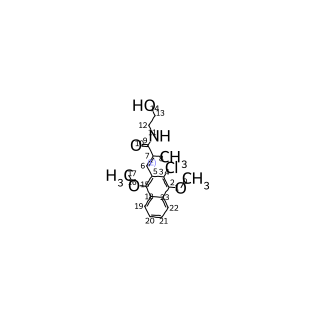 COc1c(Cl)c(/C=C(\C)C(=O)NCCO)c(OC)c2ccccc12